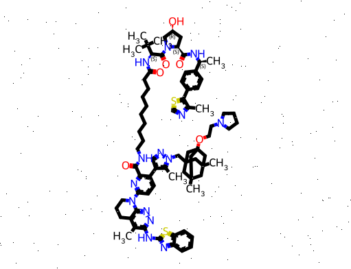 Cc1ncsc1-c1ccc([C@H](C)NC(=O)[C@@H]2C[C@@H](O)CN2C(=O)[C@@H](NC(=O)CCCCCCCCCNC(=O)c2nc(N3CCCc4c3nnc(Nc3nc5ccccc5s3)c4C)ccc2-c2cnn(CC34CC5(C)CC(C)(C3)CC(OCCN3CCCC3)(C5)C4)c2C)C(C)(C)C)cc1